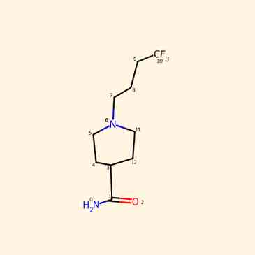 NC(=O)C1CCN(CCCC(F)(F)F)CC1